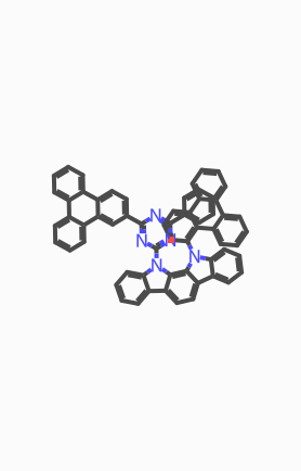 c1ccc(-c2nc(-c3ccc4c5ccccc5c5ccccc5c4c3)nc(-n3c4ccccc4c4ccc5c6ccccc6n(-c6cccc7c8ccccc8c8ccccc8c67)c5c43)n2)cc1